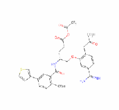 COc1ccc(-c2ccsc2)cc1C(=O)N[C@H](CCC(=O)OC(=O)C(F)(F)F)COc1cc(C(=N)N)ccc1CC(=O)C(=O)O